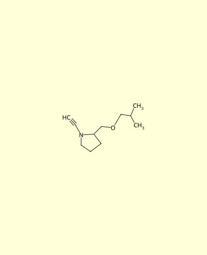 C#CN1CCCC1COCC(C)C